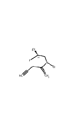 C#CCC(=C)N(CC)C[C@@H](F)CC